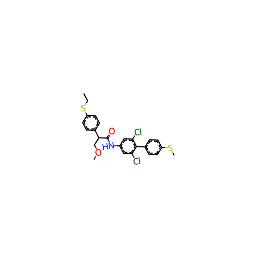 CCSc1ccc(C(COC)C(=O)Nc2cc(Cl)c(-c3ccc(SC)cc3)c(Cl)c2)cc1